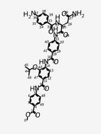 COC(=O)c1ccc(NC(=O)c2ccc(NC(=O)c3ccc(NC(=O)[C@H](CC(N)=O)NC(=O)c4ccc(N)cc4)cc3)c(OC(C)C)c2)cc1